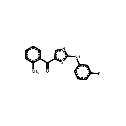 Cc1ccccc1C(=O)c1cnc(Nc2cccc(F)c2)s1